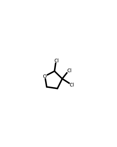 ClC1OCCC1(Cl)Cl